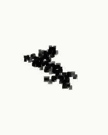 CN(C)c1nc(Nc2ccco2)nc(N(C)Cc2csc(N(C)c3nc(N)nc(N)n3)c2)n1